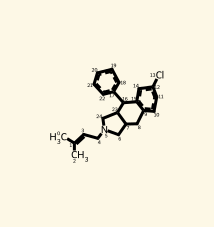 CC(C)=CCN1CC2Cc3ccc(Cl)cc3C(c3ccccc3)C2C1